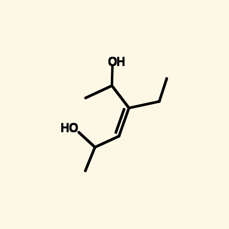 CCC(=CC(C)O)C(C)O